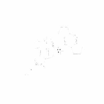 COCc1nc(C(C)(C)O)sc1S(C)(N)(=O)NC(=O)Nc1c2c(nc3c1CCC3)CCC2